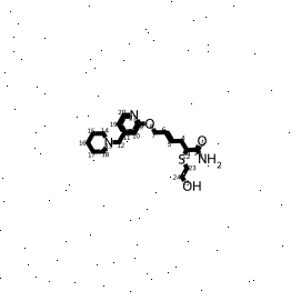 NC(=O)C(CC=CCOc1cc(CN2CCCCC2)ccn1)SCCO